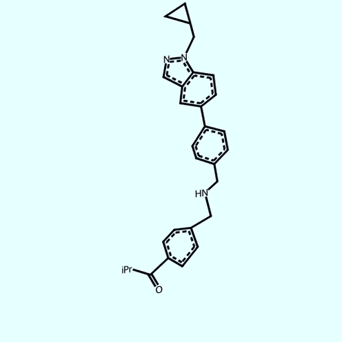 CC(C)C(=O)c1ccc(CNCc2ccc(-c3ccc4c(cnn4CC4CC4)c3)cc2)cc1